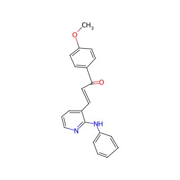 COc1ccc(C(=O)/C=C/c2cccnc2Nc2ccccc2)cc1